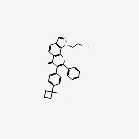 NC1(c2ccc(-c3c(-c4ccccc4)oc4c(ccc5cnn(CCO)c54)c3=O)cc2)CCC1